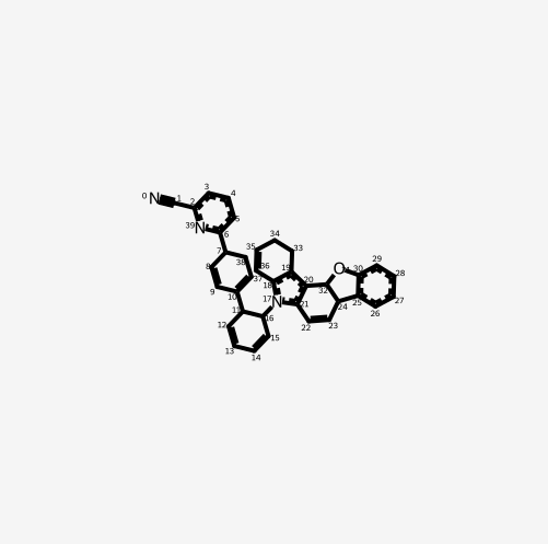 N#Cc1cccc(C2C=CC(C3C=CC=CC3n3c4c(c5c3C=CC3c6ccccc6OC53)CCC=C4)=CC2)n1